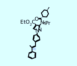 CCOC(=O)c1cn(-c2ccc(/C=C(\C)c3ccccc3)cc2)nc1N(C(=O)[C@H]1CC[C@H](C)CC1)C(C)C